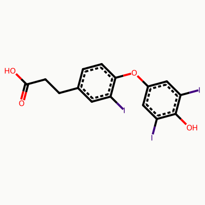 O=C(O)CCc1ccc(Oc2cc(I)c(O)c(I)c2)c(I)c1